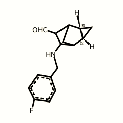 O=CC1C(NCc2ccc(F)cc2)C2CC1[C@@H]1C[C@H]21